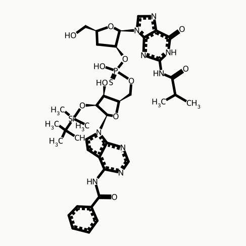 CC(C)C(=O)Nc1nc2c(ncn2[C@@H]2O[C@H](CO)C[C@@H]2OP(O)(=S)OC[C@H]2O[C@@H](n3ccc4c(NC(=O)c5ccccc5)ncnc43)[C@@H](O[Si](C)(C)C(C)(C)C)[C@H]2O)c(=O)[nH]1